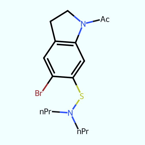 CCCN(CCC)Sc1cc2c(cc1Br)CCN2C(C)=O